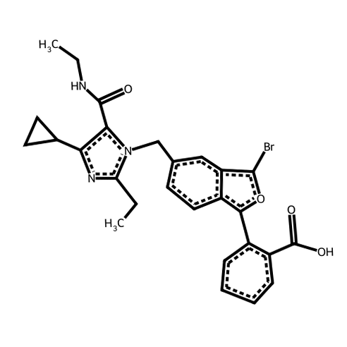 CCNC(=O)c1c(C2CC2)nc(CC)n1Cc1ccc2c(-c3ccccc3C(=O)O)oc(Br)c2c1